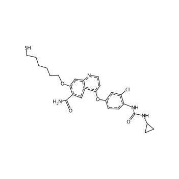 NC(=O)c1cc2c(Oc3ccc(NC(=O)NC4CC4)c(Cl)c3)ccnc2cc1OCCCCCCS